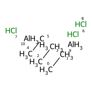 CC.CC.CC.Cl.Cl.Cl.[AlH3].[AlH3]